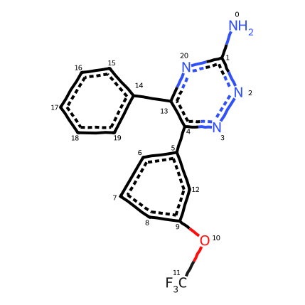 Nc1nnc(-c2cccc(OC(F)(F)F)c2)c(-c2ccccc2)n1